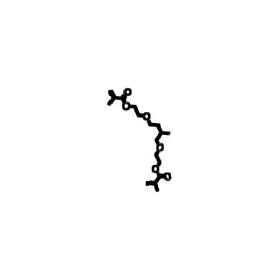 C=C(C)C(=O)OCCOCCC(C)COCCOC(=O)C(=C)C